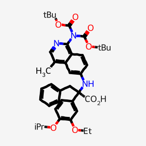 CCOc1cc(C(Cc2ccccc2)(Nc2ccc3c(N(C(=O)OC(C)(C)C)C(=O)OC(C)(C)C)ncc(C)c3c2)C(=O)O)ccc1OC(C)C